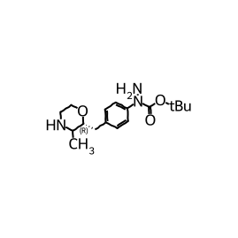 CC1NCCO[C@@H]1Cc1ccc(N(N)C(=O)OC(C)(C)C)cc1